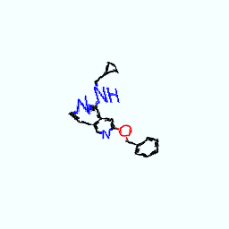 c1ccc(COc2cc3c(NCC4CC4)nccc3cn2)cc1